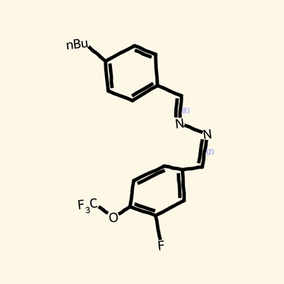 CCCCc1ccc(/C=N/N=C\c2ccc(OC(F)(F)F)c(F)c2)cc1